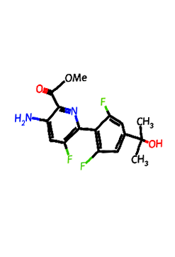 COC(=O)c1nc(-c2c(F)cc(C(C)(C)O)cc2F)c(F)cc1N